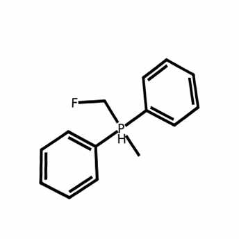 C[PH](CF)(c1ccccc1)c1ccccc1